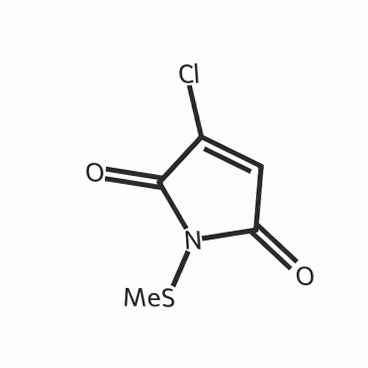 CSN1C(=O)C=C(Cl)C1=O